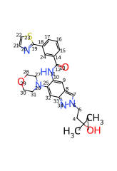 CC(C)(O)CCn1cc2cc(NC(=O)c3cccc(-c4nccs4)c3)c(N3CCOCC3)cc2n1